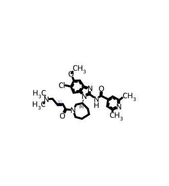 COc1cc2nc(NC(=O)c3cc(C)nc(C)c3)n([C@@H]3CCCCN(C(=O)/C=C/CN(C)C)C3)c2cc1Cl